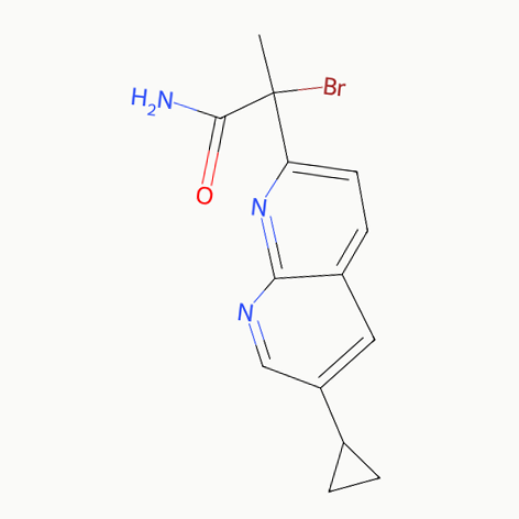 CC(Br)(C(N)=O)c1ccc2cc(C3CC3)cnc2n1